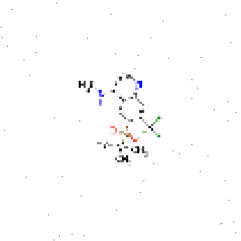 CNc1ccnc2cc(C(F)(F)F)c(S(=O)(=O)C(C)(C)C)cc12